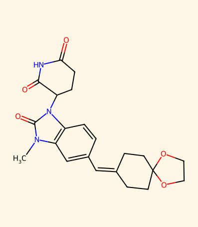 Cn1c(=O)n(C2CCC(=O)NC2=O)c2ccc(C=C3CCC4(CC3)OCCO4)cc21